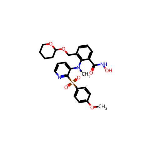 COc1ccc(S(=O)(=O)c2ncccc2N(C)c2c(COC3CCCCO3)cccc2C(=O)NO)cc1